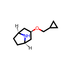 C1CC1CO[C@H]1C[C@H]2CC[C@@H](C1)N2